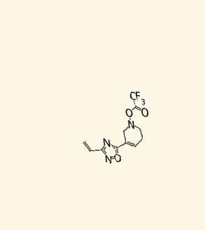 C=Cc1noc(C2=CCCN(OC(=O)C(F)(F)F)C2)n1